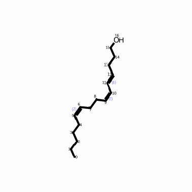 CCCCC/C=C\CC/C=C\C=C\CCCO